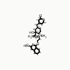 CCCCc1cc2ccccc2c(OCC[N+](C)(C)[C@H]2CCC(Cc3ccnc(Cl)c3)C[C@@]2(O)C(N)=O)n1